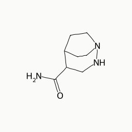 NC(=O)C1CNN2CCC1CC2